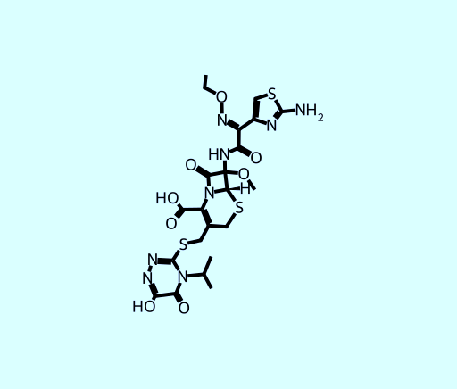 CCON=C(C(=O)NC1(OC)C(=O)N2C(C(=O)O)=C(CSc3nnc(O)c(=O)n3C(C)C)CS[C@H]21)c1csc(N)n1